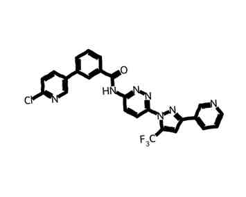 O=C(Nc1ccc(-n2nc(-c3cccnc3)cc2C(F)(F)F)nn1)c1cccc(-c2ccc(Cl)nc2)c1